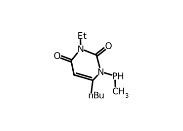 CCCCc1cc(=O)n(CC)c(=O)n1PC